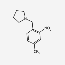 O=[N+]([O-])c1cc(C(F)(F)F)ccc1CN1CCCC1